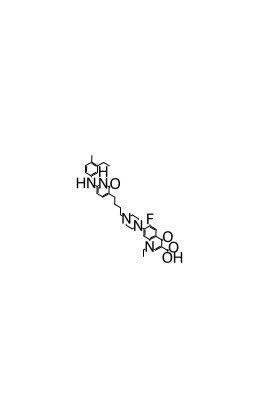 CCc1cc(Nc2ccc(CCCCN3CCN(c4cc5c(cc4F)c(=O)c(C(=O)O)cn5CC)CC3)c(=O)[nH]2)ccc1C